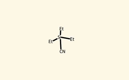 CC[Si](C#N)(CC)CC